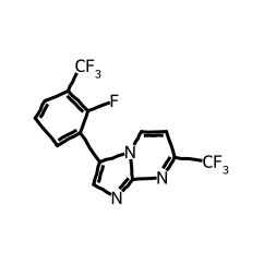 Fc1c(-c2cnc3nc(C(F)(F)F)ccn23)cccc1C(F)(F)F